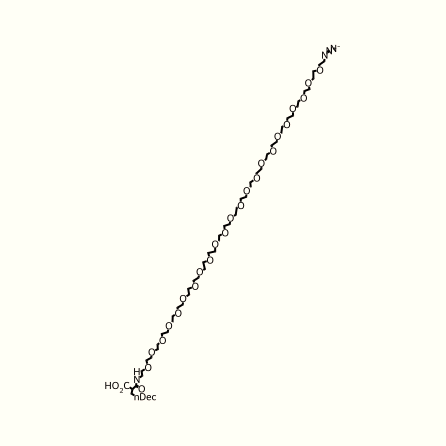 CCCCCCCCCCCC(C(=O)O)C(=O)NCCOCCOCCOCCOCCOCCOCCOCCOCCOCCOCCOCCOCCOCCOCCOCCOCCOCCOCCOCCOCCOCCOCCOCCN=[N+]=[N-]